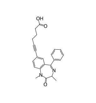 CC1N=C(c2ccccc2)c2cc(C#CCCCC(=O)O)ccc2N(C)C1=O